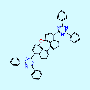 c1ccc(-c2nc(-c3ccccc3)nc(-c3ccc4oc5ccc(-c6nc(-c7ccccc7)nc(-c7ccccc7)n6)c6cccc(c7cccc3c47)c56)n2)cc1